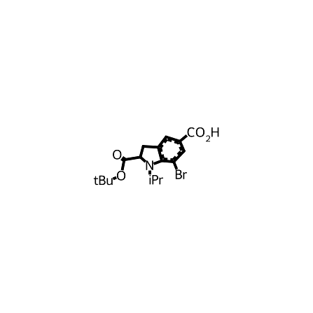 CC(C)N1c2c(Br)cc(C(=O)O)cc2CC1C(=O)OC(C)(C)C